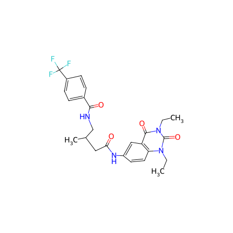 CCn1c(=O)c2cc(NC(=O)CC(C)CNC(=O)c3ccc(C(F)(F)F)cc3)ccc2n(CC)c1=O